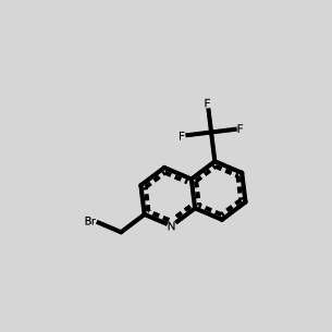 FC(F)(F)c1cccc2nc(CBr)ccc12